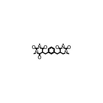 CN1CC(Cc2cccc(CC3C(=O)N(C)C(=O)N(C)C3=O)c2)C(=O)N(C)C1=O